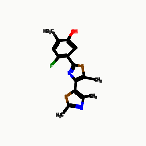 Cc1nc(C)c(-c2nc(-c3cc(O)c(C(=O)O)cc3F)sc2C)s1